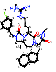 CNC(=O)[C@H](Cc1ccc2ccccc2c1)N1CC[C@H]2CN(Cc3ccc(F)cc3)C(=O)N2[C@@H](CCCNC(=N)N)C1=O